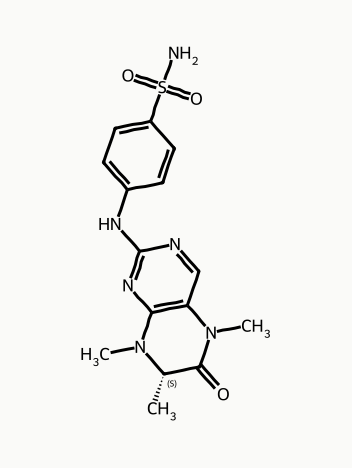 C[C@H]1C(=O)N(C)c2cnc(Nc3ccc(S(N)(=O)=O)cc3)nc2N1C